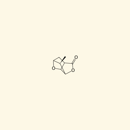 C[C@@H]1C2CC3C(=O)OC1C3O2